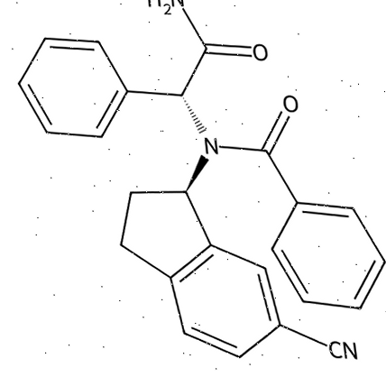 N#Cc1ccc2c(c1)[C@H](N(C(=O)c1ccccc1)[C@@H](C(N)=O)c1ccccc1)CC2